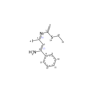 C=C(/N=C(I)\C=C(/N)c1ccccc1)SCC